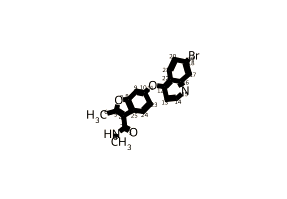 CNC(=O)c1c(C)oc2cc(Oc3ccnc4cc(Br)ccc34)ccc12